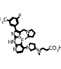 C[C@@H]1CCCN1Cc1sc(Nc2nccc(N3CC[C@H](N(C)CCC(=O)O)C3)c2F)nc1-c1cc(F)cc(C(F)(F)F)c1